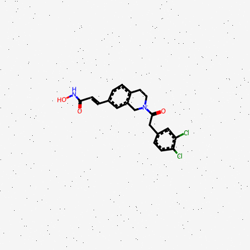 O=C(C=Cc1ccc2c(c1)CN(C(=O)Cc1ccc(Cl)c(Cl)c1)CC2)NO